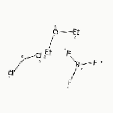 CCOCC.ClCCl.FB(F)F